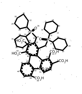 O=C(O)c1cccc(-c2c(CP(=O)(C3CCCCC3)C3CCCCC3)c(CP(=O)(C3CCCCC3)C3CCCCC3)c(C(=O)O)c(C(=O)O)c2-c2cccc(C(=O)O)c2C(=O)O)c1C(=O)O